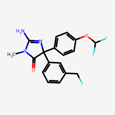 CN1C(=O)C(c2ccc(OC(F)F)cc2)(c2cccc(CF)c2)N=C1N